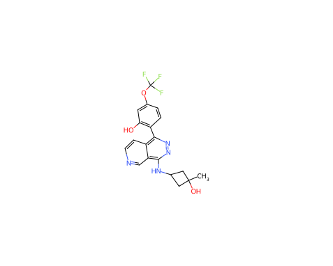 CC1(O)CC(Nc2nnc(-c3ccc(OC(F)(F)F)cc3O)c3ccncc23)C1